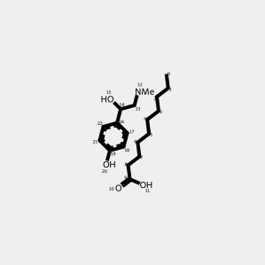 CCCCCCCCCC(=O)O.CNCC(O)c1ccc(O)cc1